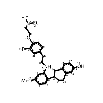 CCN(CC)CCOc1ccc(CCNc2cc(OC)ccc2C2CCc3cc(O)ccc3C2)cc1F